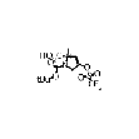 CC(C)(C)OC(=O)N1CC(OS(=O)(=O)C(F)(F)F)=C[C@]1(C)C(=O)O